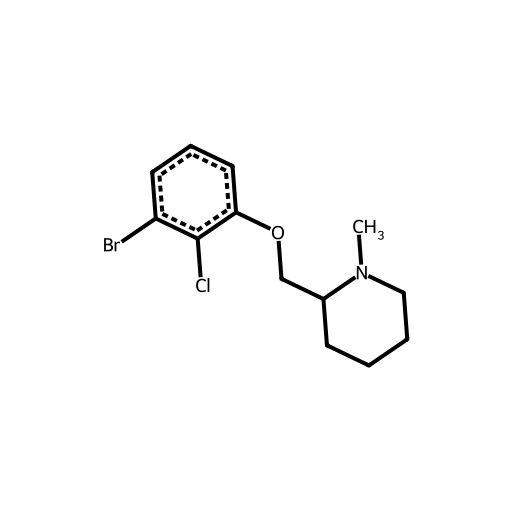 CN1CCCCC1COc1cccc(Br)c1Cl